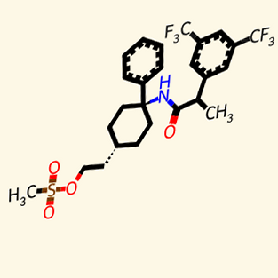 CC(C(=O)N[C@]1(c2ccccc2)CC[C@@H](CCOS(C)(=O)=O)CC1)c1cc(C(F)(F)F)cc(C(F)(F)F)c1